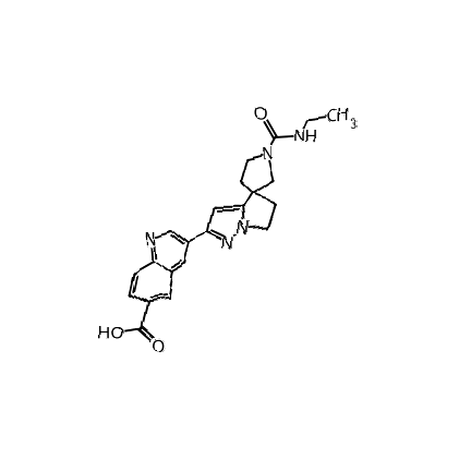 CCNC(=O)N1CCC2(CCn3nc(-c4cnc5ccc(C(=O)O)cc5c4)cc32)C1